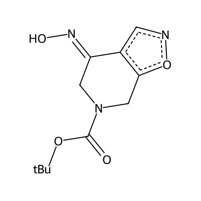 CC(C)(C)OC(=O)N1C/C(=N\O)c2cnoc2C1